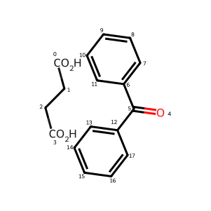 O=C(O)CCC(=O)O.O=C(c1ccccc1)c1ccccc1